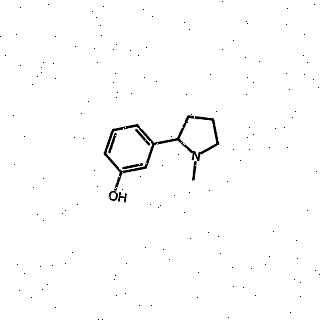 CN1CCCC1c1cccc(O)c1